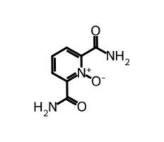 NC(=O)c1cccc(C(N)=O)[n+]1[O-]